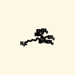 CCCCCCC(=O)N(C(CC)NC)C(CC)NC